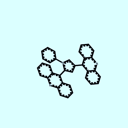 c1ccc(-n2cc(-c3c4ccccc4nc4ccccc34)cc2-c2c3ccccc3nc3ccccc23)cc1